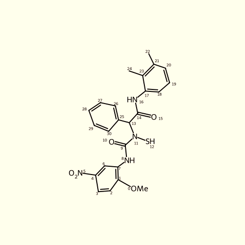 COc1ccc([N+](=O)[O-])cc1NC(=O)N(S)C(C(=O)Nc1cccc(C)c1C)c1ccccc1